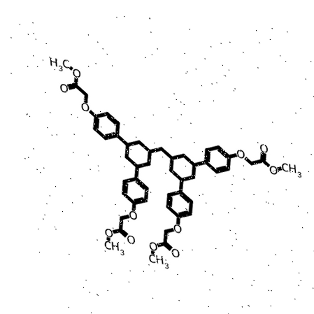 COC(=O)COc1ccc(C2CC(CC3CC(c4ccc(OCC(=O)OC)cc4)CC(c4ccc(OCC(=O)OC)cc4)C3)CC(c3ccc(OCC(=O)OC)cc3)C2)cc1